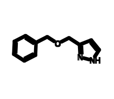 c1ccc(COCc2cc[nH]n2)cc1